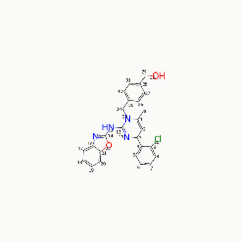 CC1=CC(c2ccccc2Cl)N=C(Nc2nc3ccccc3o2)N1Cc1ccc(CO)cc1